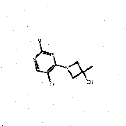 CC1(O)CN(c2nc(Cl)ncc2C(F)(F)F)C1